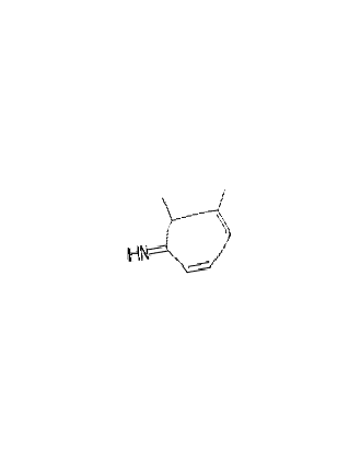 CC1=CC=CC(=N)C1C